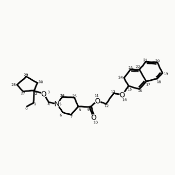 CCC1(OCN2CCC(C(=O)OCCOC3C=c4ccccc4=CC3)CC2)CCCC1